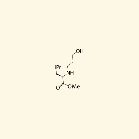 COC(=O)[C@@H](CC(C)C)NCCCO